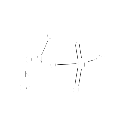 O=[N+]([O-])[O-].[Ce+3].[K+].[O]=[Cr](=[O])([O-])[O-]